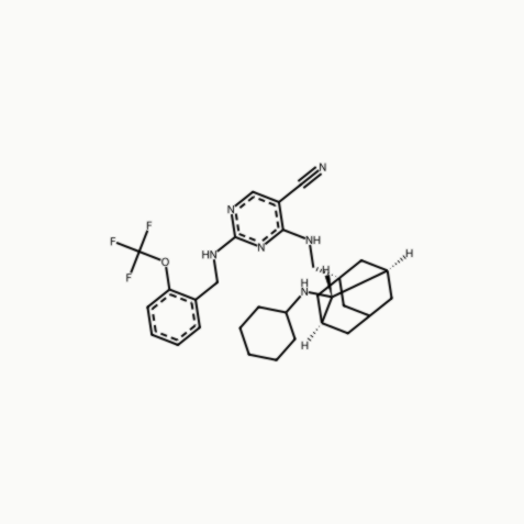 N#Cc1cnc(NCc2ccccc2OC(F)(F)F)nc1NC[C@@]12CC3C[C@H](C1)[C@@H](NC1CCCCC1)[C@@H](C3)C2